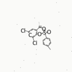 Cc1ccc(S(=O)(=O)O[C@@H](C)c2cc(Cl)cc(Cl)c2)cc1